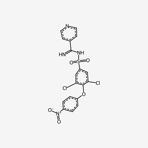 N=C(NS(=O)(=O)c1cc(Cl)c(Oc2ccc([N+](=O)[O-])cc2)c(Cl)c1)c1ccncc1